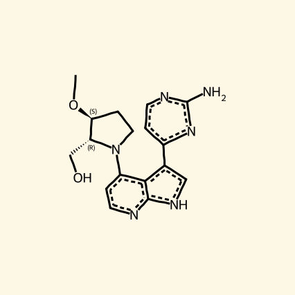 CO[C@H]1CCN(c2ccnc3[nH]cc(-c4ccnc(N)n4)c23)[C@@H]1CO